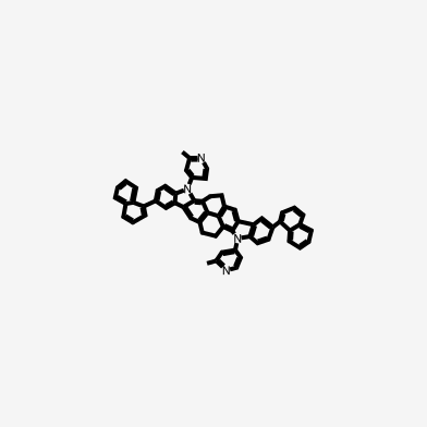 Cc1cc(-n2c3ccc(-c4cccc5ccccc45)cc3c3cc4c5c(c32)CCc2cc3c6cc(-c7cccc8ccccc78)ccc6n(-c6ccnc(C)c6)c3c(c2-5)CC4)ccn1